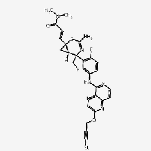 CCC#CCOc1cnc2c(Nc3ccc(F)c([C@@]4(CF)N=C(N)S[C@@]5(C=CC(=O)N(C)C)C[C@H]54)c3)nccc2n1